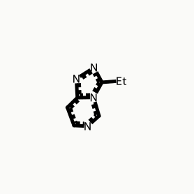 CCc1nnc2ccncn12